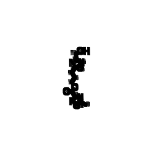 Cc1nc(C(=O)OCCCc2nc(CO)no2)no1